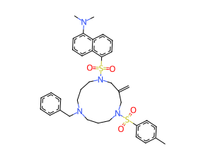 C=C1CN(S(=O)(=O)c2ccc(C)cc2)CCCN(Cc2ccccc2)CCCN(S(=O)(=O)c2cccc3c(N(C)C)cccc23)C1